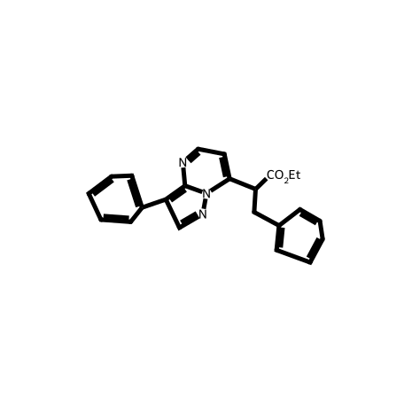 CCOC(=O)C(Cc1ccccc1)c1ccnc2c(-c3ccccc3)cnn12